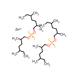 CCC(C)CCC(C)COP(=S)([S-])OCC(C)CCC(C)CC.CCC(C)CCC(C)COP(=S)([S-])OCC(C)CCC(C)CC.[Zn+2]